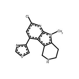 Cn1c2c(c3c(-c4cscn4)cc(Cl)nc31)CNCC2